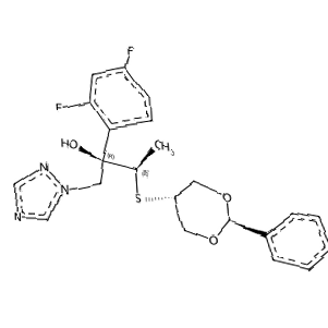 C[C@@H](S[C@H]1CO[C@H](c2ccccc2)OC1)[C@](O)(Cn1cncn1)c1ccc(F)cc1F